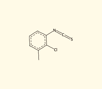 Cc1cccc(N=C=S)c1Cl